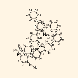 N#Cc1ccccc1-c1ccc2c3ccc(-c4ccccc4C#N)cc3n(-c3cc(-c4nc(-c5ccccc5)nc(-c5ccccc5)n4)ccc3-c3cccc(C(F)(F)F)c3)c2c1